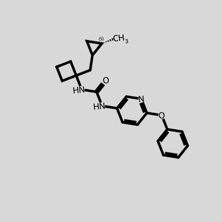 C[C@H]1CC1CC1(NC(=O)Nc2ccc(Oc3ccccc3)nc2)CCC1